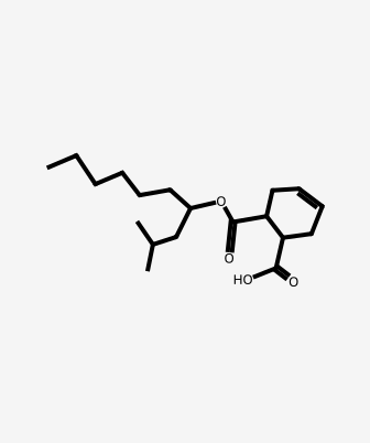 CCCCCCC(CC(C)C)OC(=O)C1CC=CCC1C(=O)O